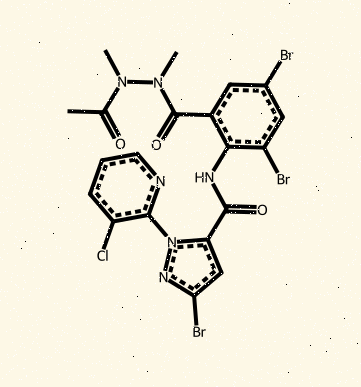 CC(=O)N(C)N(C)C(=O)c1cc(Br)cc(Br)c1NC(=O)c1cc(Br)nn1-c1ncccc1Cl